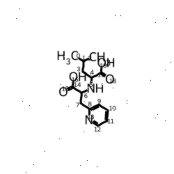 CC(C)CC(NC(Cc1ccccn1)C(=O)O)C(=O)O